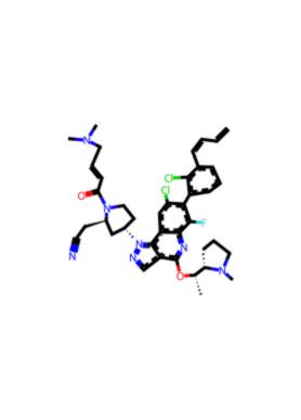 C=C/C=C\c1cccc(-c2c(Cl)cc3c(nc(O[C@@H](C)[C@@H]4CCCN4C)c4cnn([C@H]5CCN(C(=O)/C=C/CN(C)C)[C@H](CC#N)C5)c43)c2F)c1Cl